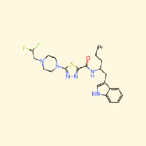 CC(C)CCC(Cc1c[nH]c2ccccc12)NC(=O)c1nnc(N2CCN(CC(F)F)CC2)s1